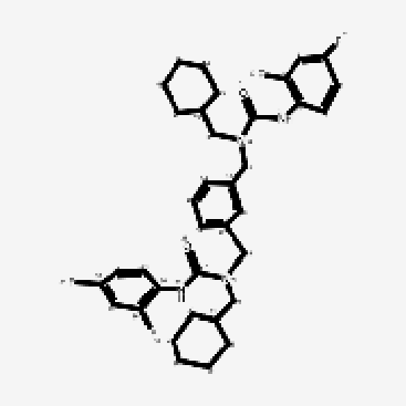 O=C(Nc1ccc(F)cc1F)N(Cc1cccc(CN(CC2CCCCC2)C(=O)Nc2ccc(F)cc2F)c1)CC1CCCCC1